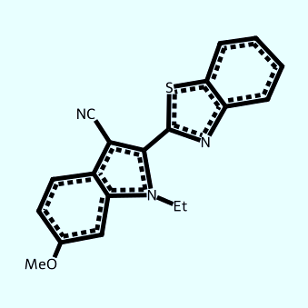 CCn1c(-c2nc3ccccc3s2)c(C#N)c2ccc(OC)cc21